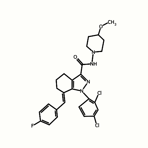 COC1CCN(NC(=O)c2nn(-c3ccc(Cl)cc3Cl)c3c2CCC/C3=C\c2ccc(F)cc2)CC1